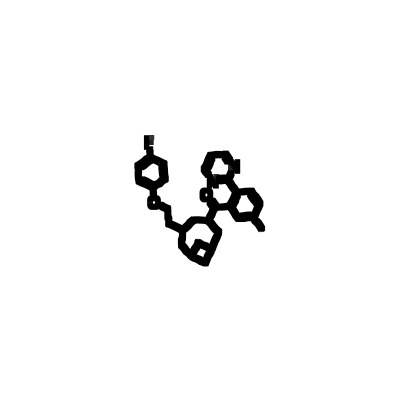 Cc1ccc(-c2ncccn2)c(C(=O)C2CC(CCOc3ccc(F)cc3)CC3CC(C3)C2)c1